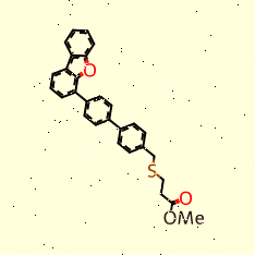 COC(=O)CCSCc1ccc(-c2ccc(-c3cccc4c3oc3ccccc34)cc2)cc1